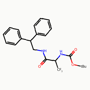 CC(C)(C)OC(=O)NC(C(=O)NCC(c1ccccc1)c1ccccc1)C(F)(F)F